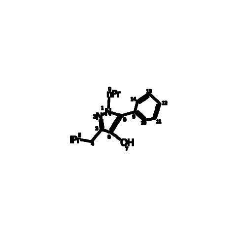 CCCn1nc(CC(C)C)c(O)c1-c1ccccc1